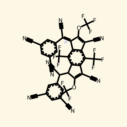 N#CC1=C(OC(F)(F)F)/C(=C(\C#N)c2cc(C#N)cc(C#N)c2)c2c1c(C(F)(F)F)c1c(c2C(F)(F)F)C(C(C#N)c2cc(C#N)cc(C#N)c2)C(OC(F)(F)F)=C1C#N